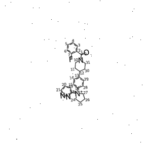 O=C(c1ccccc1F)N1CCC(c2ccc([N+]3(c4cccnn4)CCCC3)cc2)CC1